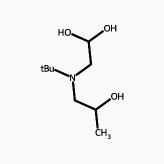 CC(O)CN(CC(O)O)C(C)(C)C